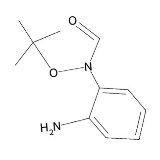 CC(C)(C)ON(C=O)c1ccccc1N